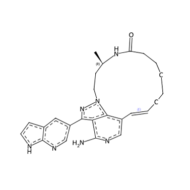 C[C@@H]1CCn2nc(-c3cnc4[nH]ccc4c3)c3c(N)ncc(c32)/C=C/CCCCCC(=O)N1